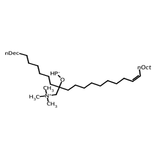 CCCCCCCC/C=C\CCCCCCCCC(CCCCCCCCCCCCCCCC)(C[N+](C)(C)C)O[PH-]